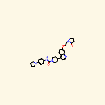 O=C1CCCN1CCOc1ccc2c(C3CCN(C(=O)Nc4ccc(N5CCCC5)cc4)CC3)ccnc2c1